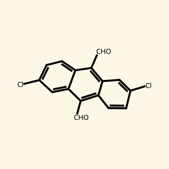 O=Cc1c2ccc(Cl)cc2c(C=O)c2ccc(Cl)cc12